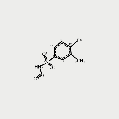 Cc1cc(S(=O)(=O)NC=O)ccc1F